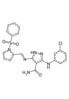 NC(=O)c1c(Nc2cccc(Cl)c2)n[nH]c1N=Cc1cccn1S(=O)(=O)c1ccccc1